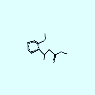 COC(=O)CC(C)c1ccccc1OC